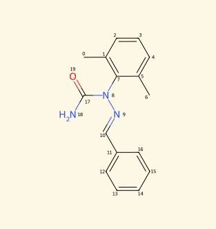 Cc1cccc(C)c1N(N=Cc1ccccc1)C(N)=O